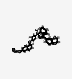 COc1cnc2c(Oc3ccc(Nc4nnc(-c5ccc6c(c5)OCCO6)c5ccccc45)cc3)ccnc2c1